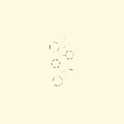 CC1(C)C2=C(CC=CC=C2)N(c2cccc(N3C4=C(C=C=CC=C4)C4CCC=CC43)c2)c2ccccc21